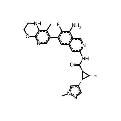 Cc1c(-c2cc3cc(NC(=O)[C@H]4[C@H](C)[C@@H]4c4cnn(C)c4)ncc3c(N)c2F)cnc2c1NCCO2